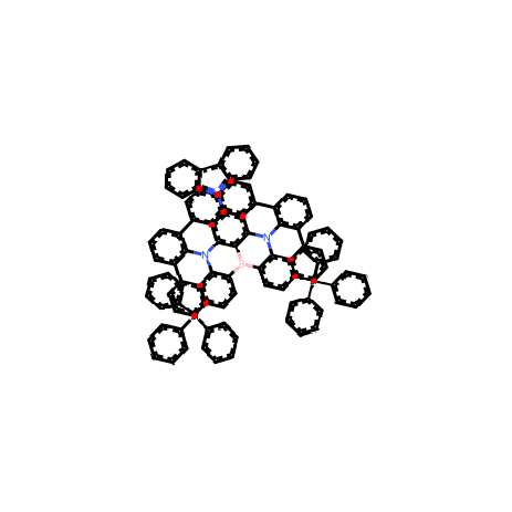 c1ccc(-c2cccc(-c3ccccc3)c2N2c3cc([Si](c4ccccc4)(c4ccccc4)c4ccccc4)ccc3B3c4ccc([Si](c5ccccc5)(c5ccccc5)c5ccccc5)cc4N(c4c(-c5ccccc5)cccc4-c4ccccc4)c4cc(-n5c6ccccc6c6ccccc65)cc2c43)cc1